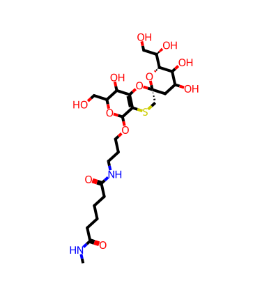 CNC(=O)CCCCC(=O)NCCCOC1OC(CO)C(O)C2=C1SC[C@]1(CC(O)C(O)[C@@H]([C@H](O)CO)O1)O2